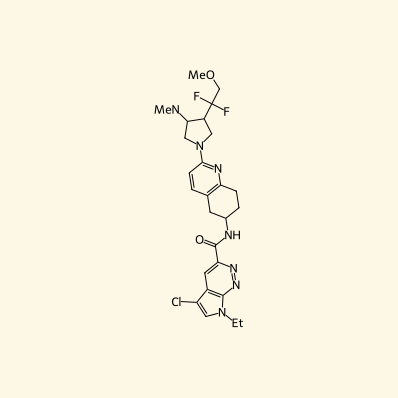 CCn1cc(Cl)c2cc(C(=O)NC3CCc4nc(N5CC(NC)C(C(F)(F)COC)C5)ccc4C3)nnc21